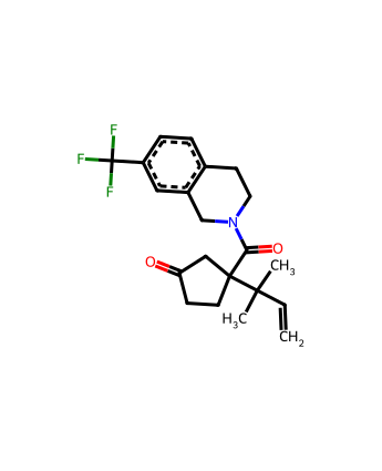 C=CC(C)(C)C1(C(=O)N2CCc3ccc(C(F)(F)F)cc3C2)CCC(=O)C1